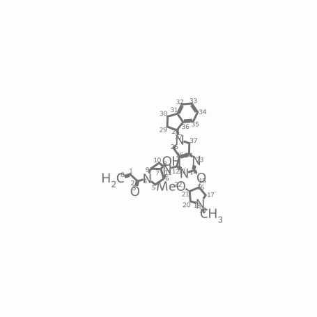 C=CC(=O)N1CC2C(O)C1CN2c1nc(O[C@@H]2CN(C)C[C@H]2OC)nc2c1CN(C1CCc3ccccc31)C2